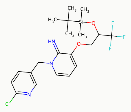 CC(C)(C)[Si](C)(C)OC(COc1cccn(Cc2ccc(Cl)nc2)c1=N)C(F)(F)F